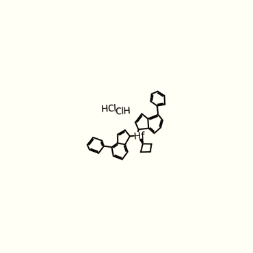 C1=C[CH]([Hf](=[C]2CCC2)[CH]2C=Cc3c(-c4ccccc4)cccc32)c2cccc(-c3ccccc3)c21.Cl.Cl